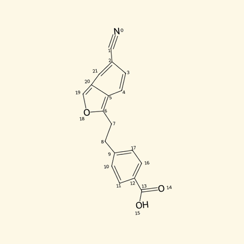 N#Cc1ccc2c(CCc3ccc(C(=O)O)cc3)occ2c1